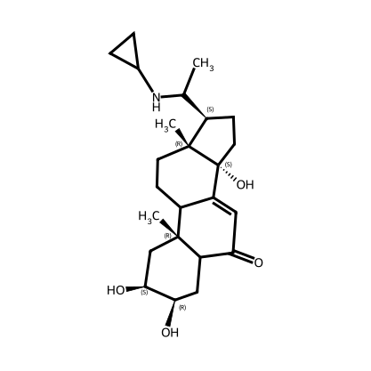 CC(NC1CC1)[C@H]1CC[C@@]2(O)C3=CC(=O)C4C[C@@H](O)[C@@H](O)C[C@]4(C)C3CC[C@]12C